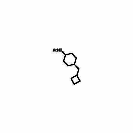 CC(=O)N[C@H]1CC[C@@H](CC2CCC2)CC1